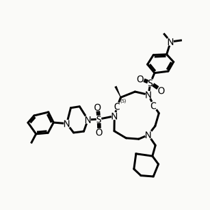 Cc1cccc(N2CCN(S(=O)(=O)N3CCCN(CC4CCCCC4)CCCN(S(=O)(=O)c4ccc(N(C)C)cc4)C[C@H](C)C3)CC2)c1